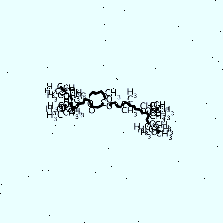 CC(=C/C=C/C(C)=C/[C@@H](O[Si](C)(C)C(C)(C)C)[C@H](C)C[C@@H](C)O[Si](C)(C)C(C)(C)C)C=C(C)/C=C/C(=O)O[C@H]1CCCC(=O)O[C@@H]([C@@H](C)C/C(C)=C/[C@@H](C)[C@@H](C[C@@H](C)O[Si](C)(C)C(C)(C)C)O[Si](C)(C)C(C)(C)C)C/C=C/C[C@@H]1C